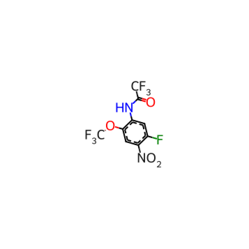 O=C(Nc1cc(F)c([N+](=O)[O-])cc1OC(F)(F)F)C(F)(F)F